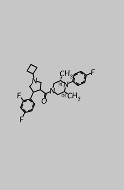 C[C@@H]1CN(C(=O)C2CN(C3CCC3)CC2c2ccc(F)cc2F)C[C@H](C)N1c1ccc(F)cc1